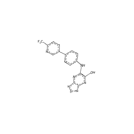 Oc1nc2nonc2nc1Nc1ccc(-c2ccc(C(F)(F)F)nc2)cc1